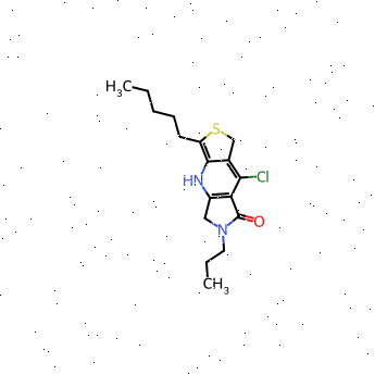 CCCCCC1=C2NC3=C(C(=O)N(CCC)C3)C(Cl)=C2CS1